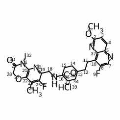 COc1ccc2ncc(F)c(CCC34CCC(NCc5nc6c(c(C)c5F)OCC(=O)N6I)(CC3)CO4)c2n1.Cl